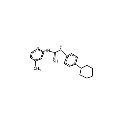 Cc1ccnc(NC(=N)Nc2ccc(C3CCCCC3)cc2)c1